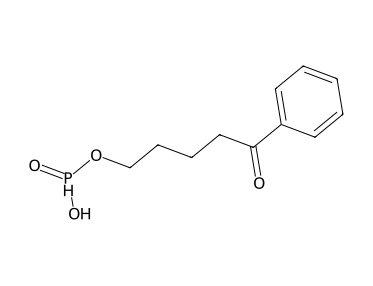 O=C(CCCCO[PH](=O)O)c1ccccc1